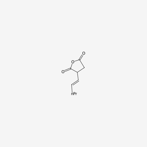 CCCC=CC1CC(=O)OC1=O